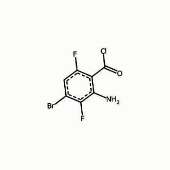 Nc1c(F)c(Br)cc(F)c1C(=O)Cl